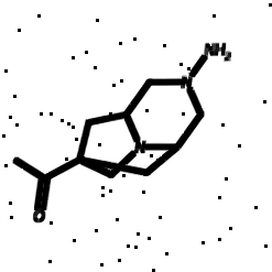 CC(=O)C12CC3CN(N)CC(C1)N3C2